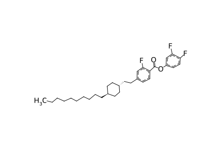 CCCCCCCCCC[C@H]1CC[C@H](CCc2ccc(C(=O)Oc3ccc(F)c(F)c3)c(F)c2)CC1